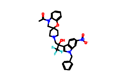 CC(=O)N1CC2(CCN(CC(O)(c3cn(Cc4ccccc4)c4cc([N+](=O)[O-])ccc34)C(F)(F)F)CC2)Oc2ccccc21